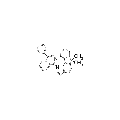 CC1(C)c2ccccc2-c2c1ccc1ccn(-c3ncc(-c4ccccc4)c4ccccc34)c21